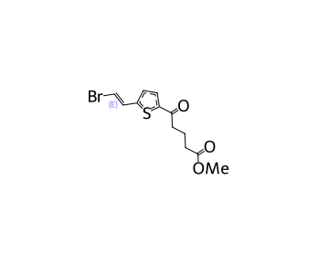 COC(=O)CCCC(=O)c1ccc(/C=C/Br)s1